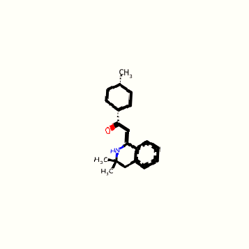 CC1(C)Cc2ccccc2/C(=C/C(=O)[C@H]2CC[C@@H](C)CC2)N1